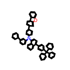 c1ccc(-c2cccc(N(c3ccc(-c4ccc5c(c4)oc4ccccc45)cc3)c3ccc(-c4ccc(C(c5ccccc5)(c5ccccc5)c5ccccc5)cc4)c4ccccc34)c2)cc1